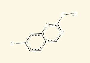 CCOc1ncc2ccc(Br)cc2n1